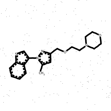 Cc1cc(COCCN2CCOCC2)nn1-c1csc2ccccc12